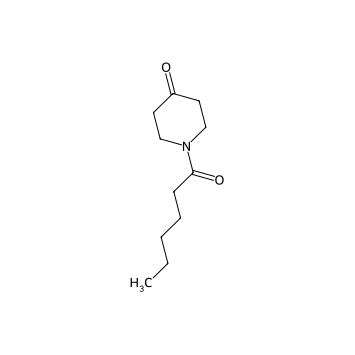 CCCCCC(=O)N1CCC(=O)CC1